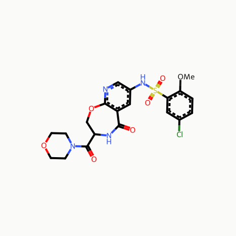 COc1ccc(Cl)cc1S(=O)(=O)Nc1cnc2c(c1)C(=O)NC(C(=O)N1CCOCC1)CO2